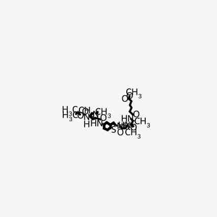 COC(=O)CCCCC(=O)N[C@@H](C)C(=O)N[C@@H](C)C(=O)Nc1cc2cc(NC(=O)c3cc(NC(=O)OC(C)(C)C)cn3C)ccc2s1